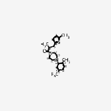 Cc1ccc(CC(C)C(=O)N2CCN(c3cc(C(F)(F)F)ccc3C)CC2)s1